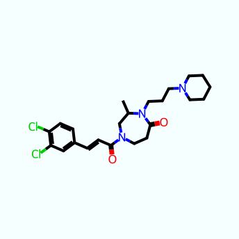 CC1CN(C(=O)/C=C/c2ccc(Cl)c(Cl)c2)CCC(=O)N1CCCN1CCCCC1